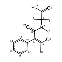 CCC(=O)C(C)(C)N1COC(C)=C(c2ccccc2)C1=O